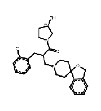 O=C(C(Cc1ccccc1Cl)CN1CCC2(CC1)OCc1ccccc12)N1CC[C@@H](O)C1